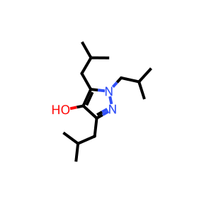 CC(C)Cc1nn(CC(C)C)c(CC(C)C)c1O